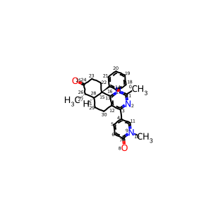 Cc1nc(-c2ccc(=O)n(C)c2)c2c(n1)[C@@]1(c3ccccc3)CCC(=O)[C@@H](C)[C@@H]1CC2